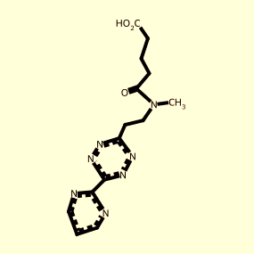 CN(CCc1nnc(-c2ncccn2)nn1)C(=O)CCCC(=O)O